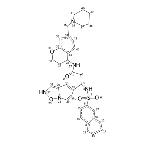 O=C(CC(NS(=O)(=O)c1ccc2ccccc2c1)C1=CC2=CNON2C=C1)NC1CCOc2cc(CN3CCCCC3)ccc21